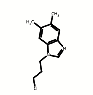 Cc1cc2ncn(CCCCl)c2cc1C